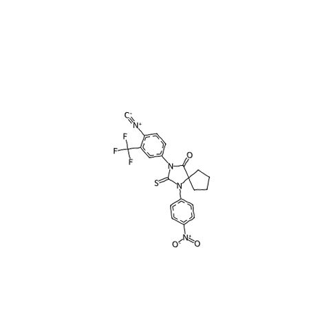 [C-]#[N+]c1ccc(N2C(=O)C3(CCCC3)N(c3ccc([N+](=O)[O-])cc3)C2=S)cc1C(F)(F)F